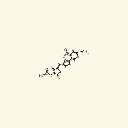 COc1ccc(-c2ccc(/C=C3\SC(=S)N(CC(=O)O)C3=O)o2)c([N+](=O)[O-])c1